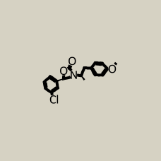 COc1ccc(C[C@@H](C)N2C[C@@H](c3cccc(Cl)c3)OC2=O)cc1